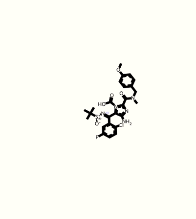 COc1ccc(CN(C)C(=O)c2nc(N)c(/C(=N/[S@@+]([O-])C(C)(C)C)c3cc(F)ccc3Cl)n2C(=O)O)cc1